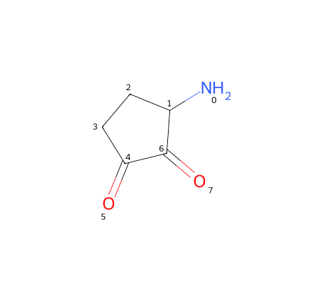 NC1CCC(=O)C1=O